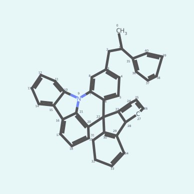 CC(Cc1ccc2c(c1)-n1c3ccccc3c3cccc(c31)C21C2=CC=CCC2C2=C1CCC=C2)c1ccccc1